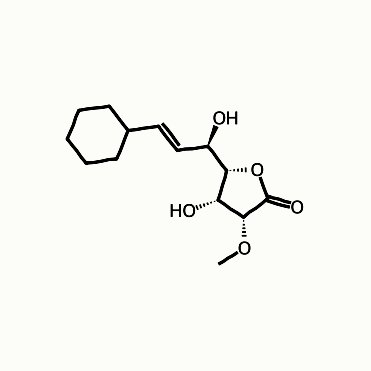 CO[C@H]1C(=O)O[C@@H]([C@H](O)C=CC2CCCCC2)[C@H]1O